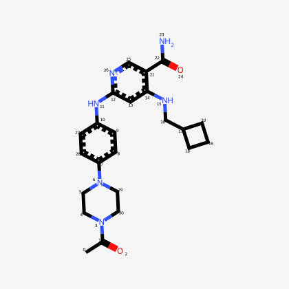 CC(=O)N1CCN(c2ccc(Nc3cc(NCC4CCC4)c(C(N)=O)cn3)cc2)CC1